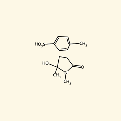 CN1C(=O)CCC1(C)O.Cc1ccc(S(=O)(=O)O)cc1